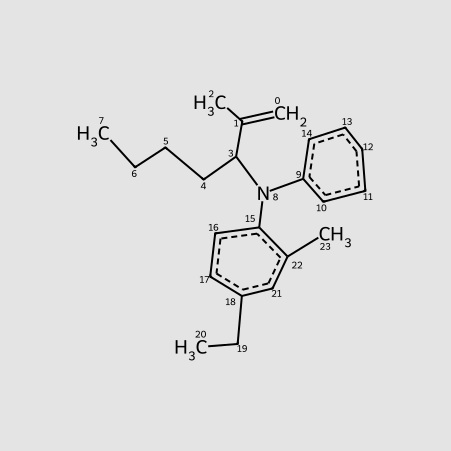 C=C(C)C(CCCC)N(c1ccccc1)c1ccc(CC)cc1C